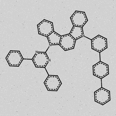 c1ccc(-c2ccc(-c3cccc(-n4c5ccccc5c5c6c7ccccc7n(-c7nc(-c8ccccc8)cc(-c8ccccc8)n7)c6ccc54)c3)cc2)cc1